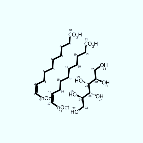 CCCCCCCC/C=C\CCCCCCCC(=O)O.CCCCCCCC/C=C\CCCCCCCC(=O)O.OC[C@@H](O)[C@@H](O)[C@H](O)[C@H](O)CO